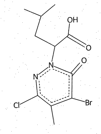 Cc1c(Cl)nn(C(CC(C)C)C(=O)O)c(=O)c1Br